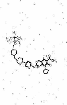 CC(=O)c1c(C)c2cnc(Nc3ccc(C4CCN(CC5CCC(CO[Si](C)(C)C(C)(C)C)CC5)CC4)cn3)nc2n(C2CCCC2)c1=O